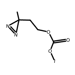 CC1(CCOC(=O)OI)N=N1